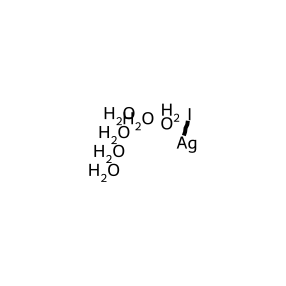 O.O.O.O.O.O.[Ag][I]